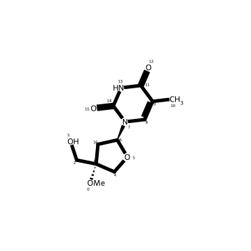 CO[C@@]1(CO)CO[C@H](n2cc(C)c(=O)[nH]c2=O)C1